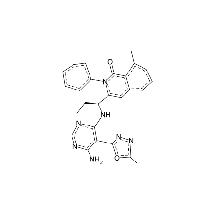 CC[C@H](Nc1ncnc(N)c1-c1nnc(C)o1)c1cc2cccc(C)c2c(=O)n1-c1ccccc1